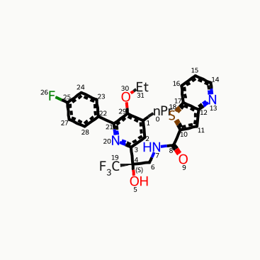 CCCc1cc([C@@](O)(CNC(=O)c2cc3ncccc3s2)C(F)(F)F)nc(-c2ccc(F)cc2)c1OCC